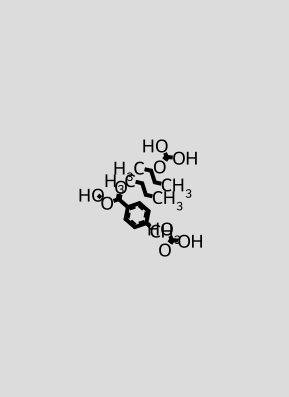 CCCC.CCCC.Cc1ccc(C(=O)OO)cc1.O=C(O)O.O=C(O)O